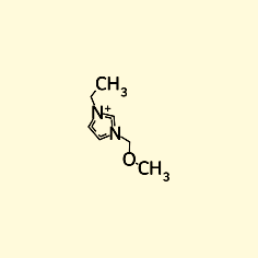 CC[n+]1ccn(COC)c1